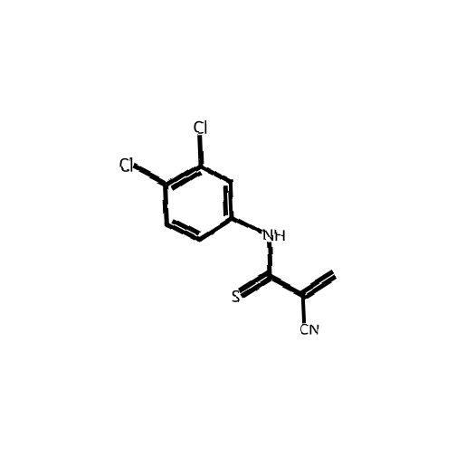 C=C(C#N)C(=S)Nc1ccc(Cl)c(Cl)c1